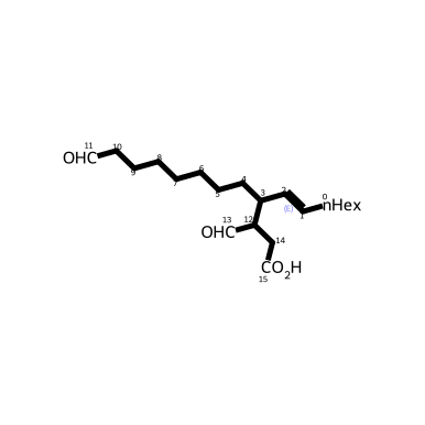 CCCCCC/C=C/C(CCCCCCCC=O)C(C=O)CC(=O)O